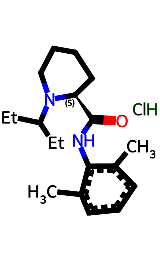 CCC(CC)N1CCCC[C@H]1C(=O)Nc1c(C)cccc1C.Cl